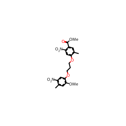 COC(=O)c1cc(C)c(OCCCOc2cc([N+](=O)[O-])c(C)cc2OC)cc1[N+](=O)[O-]